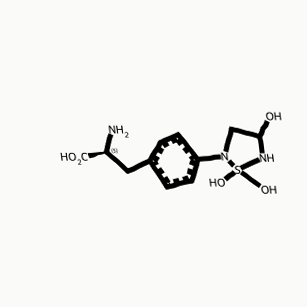 N[C@@H](Cc1ccc(N2CC(O)NS2(O)O)cc1)C(=O)O